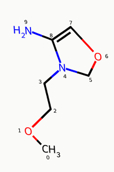 COCCN1COC=C1N